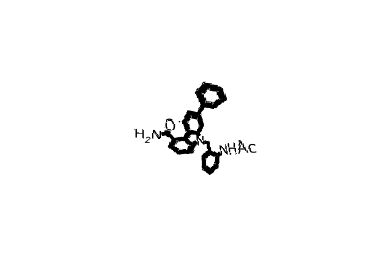 CC(=O)Nc1ccccc1Cn1c2cc(-c3ccccc3)c[c]c2c2c(C(N)=O)cccc21